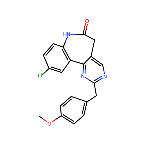 COc1ccc(Cc2ncc3c(n2)-c2cc(Cl)ccc2NC(=O)C3)cc1